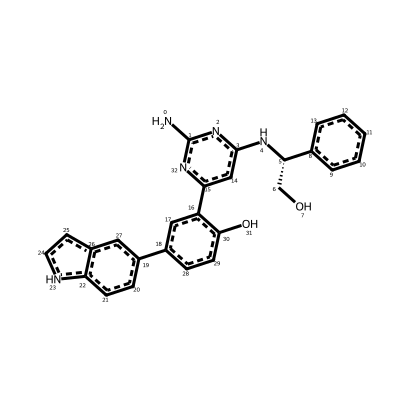 Nc1nc(N[C@@H](CO)c2ccccc2)cc(-c2cc(-c3ccc4[nH]ccc4c3)ccc2O)n1